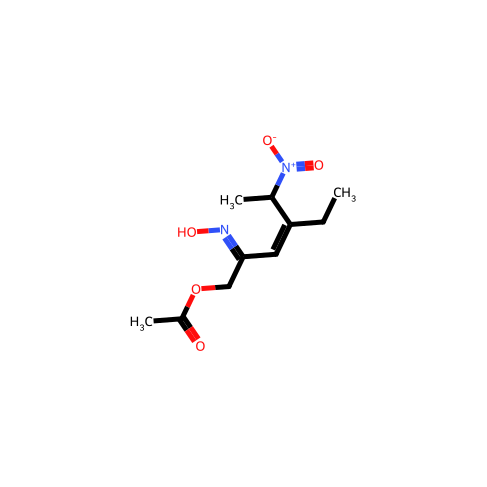 CCC(=CC(COC(C)=O)=NO)C(C)[N+](=O)[O-]